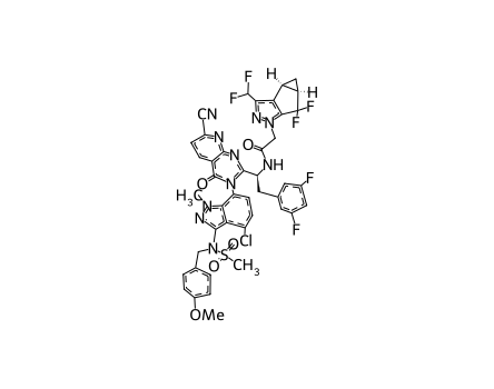 COc1ccc(CN(c2nn(C)c3c(-n4c([C@H](Cc5cc(F)cc(F)c5)NC(=O)Cn5nc(C(F)F)c6c5C(F)(F)[C@@H]5C[C@H]65)nc5nc(C#N)ccc5c4=O)ccc(Cl)c23)S(C)(=O)=O)cc1